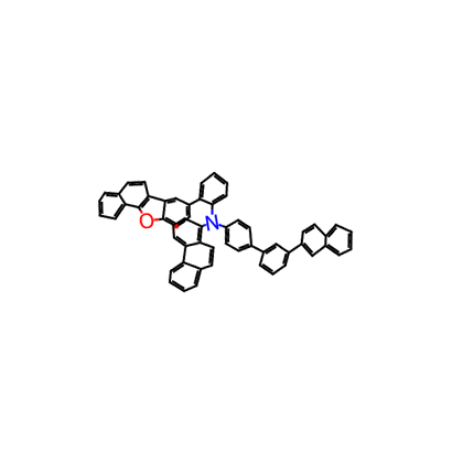 c1cc(-c2ccc(N(c3ccccc3-c3ccc4oc5c6ccccc6ccc5c4c3)c3cccc4c3ccc3ccccc34)cc2)cc(-c2ccc3ccccc3c2)c1